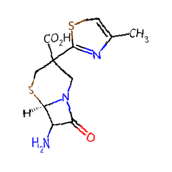 Cc1csc(C2(C(=O)O)CS[C@@H]3C(N)C(=O)N3C2)n1